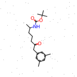 Cc1cc(C)cc(CC(=O)CCCC(C)NC(=O)OC(C)(C)C)c1